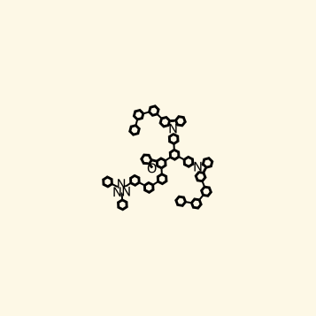 c1ccc(-c2cccc(-c3cccc(-c4ccc5c(c4)c4ccccc4n5-c4ccc(-c5cc(-c6ccc(-n7c8ccccc8c8cc(-c9cccc(-c%10cccc(-c%11ccccc%11)c%10)c9)ccc87)cc6)cc(-c6cc(-c7cccc(-c8cccc(-c9cccc(-c%10nc(-c%11ccccc%11)nc(-c%11ccccc%11)n%10)c9)c8)c7)c7oc8ccccc8c7c6)c5)cc4)c3)c2)cc1